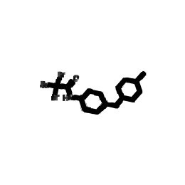 CC1CCC(CC2CCC(NC(=O)C(Br)(Br)Br)CC2)CC1